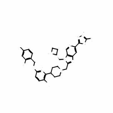 Fc1cc(Cl)ccc1COc1ccc(F)c(C2CCN(Cc3nc4cc(-c5nnc(C(F)(F)F)[nH]5)ncc4n3C[C@@H]3CCO3)CC2)n1